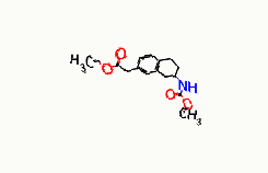 CCOC(=O)Cc1ccc2c(c1)CC(NC(=O)OC)CC2